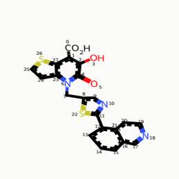 O=C(O)c1c(O)c(=O)n(Cc2cnc(-c3cccc4cnccc34)s2)c2ccsc12